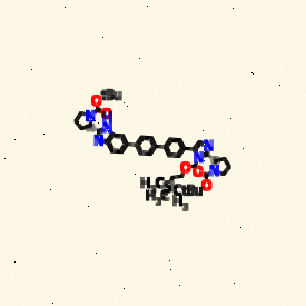 CC(C)(C)OC(=O)N1CCC[C@H]1c1nc2ccc(-c3ccc(-c4ccc(-c5cnc([C@@H]6CCCN6C(=O)OC(C)(C)C)n5COCC[Si](C)(C)C)cc4)cc3)cc2[nH]1